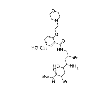 CCCCNC(=O)C(CC(O)C(N)CC(CNC(=O)c1ccccc1OCCN1CCOCC1)C(C)C)C(C)C.Cl.Cl